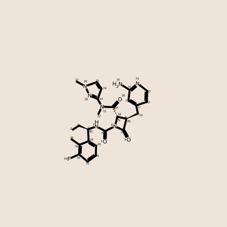 CC[C@@H](NC(=O)N1C(=O)[C@H](Cc2ccnc(N)c2)[C@H]1C(=O)N(C)c1ccn(C)n1)c1cccc(F)c1C